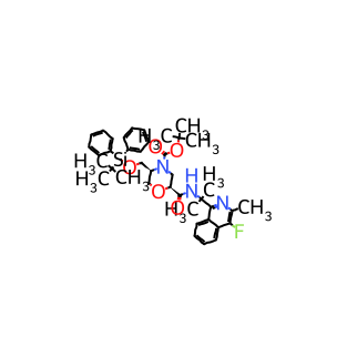 Cc1nc(C(C)(C)NC(=O)[C@@H]2CN(C(=O)OC(C)(C)C)[C@H](CO[Si](c3ccccc3)(c3ccccc3)C(C)(C)C)CO2)c2ccccc2c1F